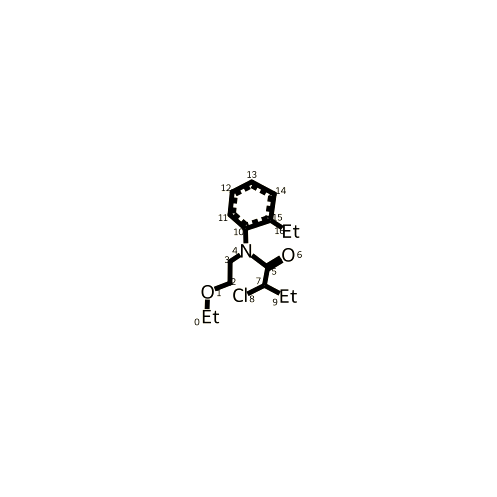 CCOCCN(C(=O)C(Cl)CC)c1ccccc1CC